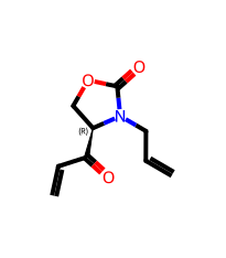 C=CCN1C(=O)OC[C@@H]1C(=O)C=C